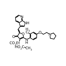 CC(=O)O.CCOC(=O)C1=C(Nc2ccc(OCCN3CCCC3)cc2C)OC(=Cc2c[nH]c3ncccc23)C1=O